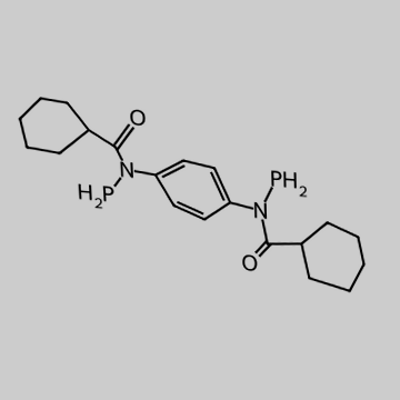 O=C(C1CCCCC1)N(P)c1ccc(N(P)C(=O)C2CCCCC2)cc1